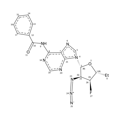 CC[C@H]1O[C@@H](n2cnc3c(NC(=O)c4ccccc4)ncnc32)[C@H](N=[N+]=[N-])[C@@H]1F